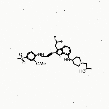 COc1cc(S(C)(=O)=O)ccc1NCC#Cc1sc2c(NC3CCN(CC(C)O)CC3)cccc2c1CC(F)F